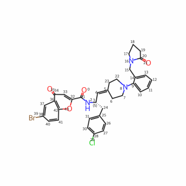 O=C(N[C@H](C=C1CCN(c2ccccc2CN2CCCC2=O)CC1)Cc1ccc(Cl)cc1)c1cc(=O)c2cc(Br)ccc2o1